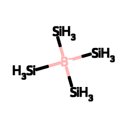 [SiH3][B-]([SiH3])([SiH3])[SiH3]